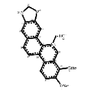 COc1ccc2c(c[n+](C)c3c4cc5c(cc4ccc23)OCO5)c1OC.[OH-]